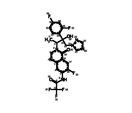 CC(n1cnc2cc(NC(=O)C(F)(F)F)c(F)cc2c1=O)C(O)(Cn1cncn1)c1ccc(F)cc1F